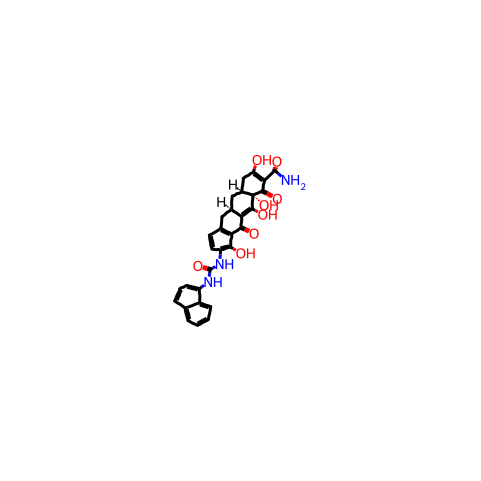 NC(=O)C1=C(O)C[C@@H]2C[C@@H]3Cc4ccc(NC(=O)Nc5cccc6ccccc56)c(O)c4C(=O)C3=C(O)[C@]2(O)C1=O